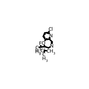 CC(C)(C)[C@@]1(C(C)(F)F)CN=Cc2nc(Cl)ccc2O1